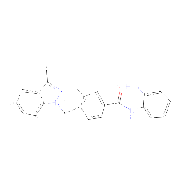 Cc1cc(C(=O)Nc2ccccc2N)ccc1Cn1nc(C)c2ccccc21